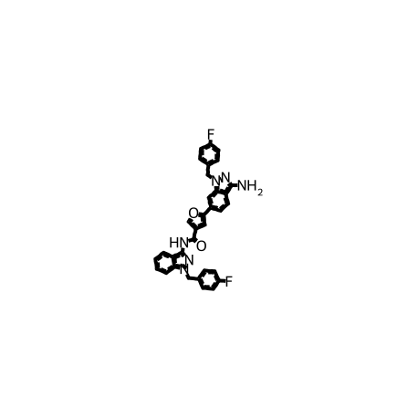 Nc1nn(Cc2ccc(F)cc2)c2cc(-c3cc(C(=O)Nc4nn(Cc5ccc(F)cc5)c5ccccc45)co3)ccc12